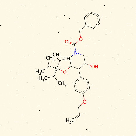 C=CCOc1ccc(C2C(O)CN(C(=O)OCc3ccccc3)CC2O[Si](C(C)C)(C(C)C)C(C)C)cc1